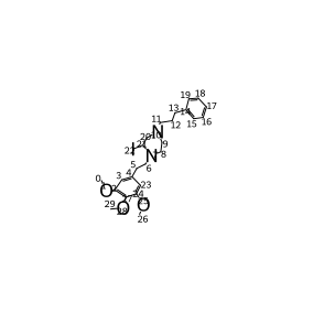 COc1cc(CCN2CCN(CCCc3ccccc3)CC2I)cc(OC)c1OC